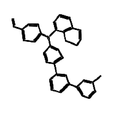 C=Cc1ccc(N(c2ccc(-c3cccc(-c4cccc(C)c4)c3)cc2)c2cccc3c2CCC=C3)cc1